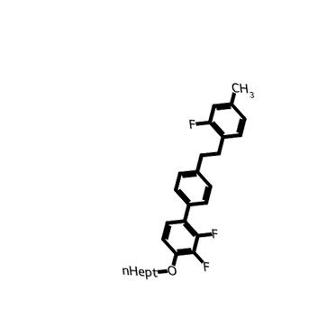 CCCCCCCOc1ccc(-c2ccc(CCc3ccc(C)cc3F)cc2)c(F)c1F